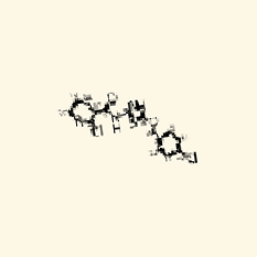 O=C(Nc1nnc(OCc2ccc(Cl)cc2)s1)c1cccnc1Cl